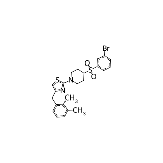 Cc1cccc(Cc2csc(N3CCC(S(=O)(=O)c4cccc(Br)c4)CC3)n2)c1C